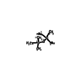 CCCC[Si](C)(CCCC)O[Si](C)(C)C